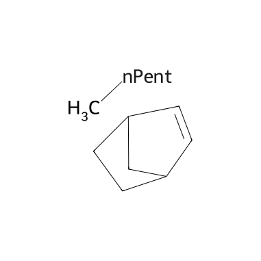 C1=CC2CCC1C2.CCCCCC